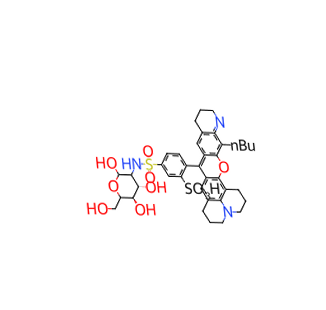 CCCCc1c2c(cc3c1=NCCC3)=C(c1ccc(S(=O)(=O)NC3C(O)OC(CO)[C@H](O)[C@H]3O)cc1S(=O)(=O)O)c1cc3c4c(c1O2)CCCN4CCC3